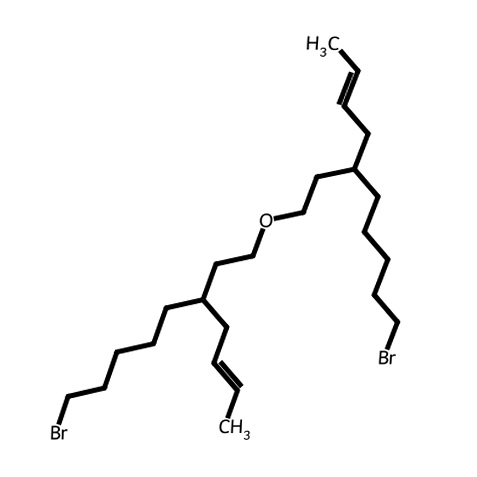 CC=CCC(CCCCCBr)CCOCCC(CC=CC)CCCCCBr